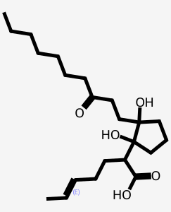 C/C=C/CCC(C(=O)O)C1(O)CCCC1(O)CCC(=O)CCCCCCC